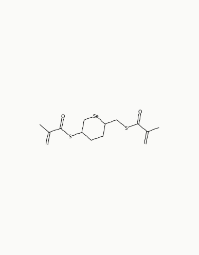 C=C(C)C(=O)SCC1CCC(SC(=O)C(=C)C)C[Se]1